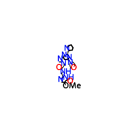 COc1cnc(CNC(=O)Cn2cnc3nc(-c4ccccn4)nc(N4CCOCC4)c32)[nH]c1=O